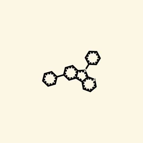 c1ccc(-c2ccc3c(c2)c2cccnc2n3-c2ccccc2)cc1